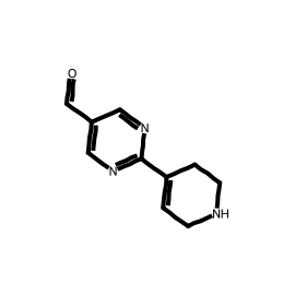 O=Cc1cnc(C2=CCNCC2)nc1